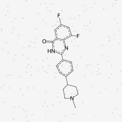 CN1CCC(c2ccc(-c3nc4c(F)cc(F)cc4c(=O)[nH]3)cc2)CC1